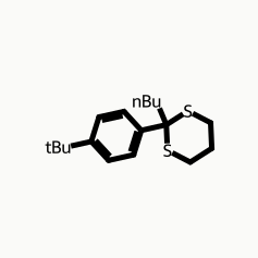 CCCCC1(c2ccc(C(C)(C)C)cc2)SCCCS1